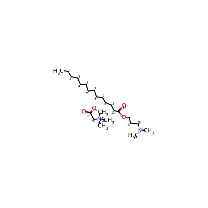 CCCCCCCCCCCCCC(=O)OCCCN(C)C.C[N+](C)(C)CC(=O)[O-]